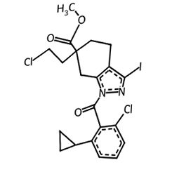 COC(=O)C1(CCCl)CCc2c(I)nn(C(=O)c3c(Cl)cccc3C3CC3)c2C1